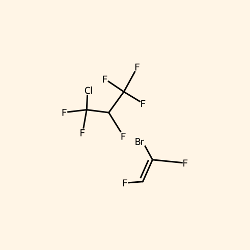 FC(C(F)(F)F)C(F)(F)Cl.FC=C(F)Br